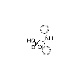 O=P(O)(O)CC(Nc1ccccc1)c1ccccc1